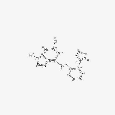 CC(C)c1cnn2c(NCc3ccccc3-n3cccn3)nc(Cl)nc12